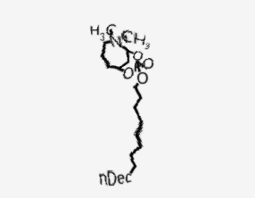 CCCCCCCCCCCCCCCCCCOP1(=O)OC2CCC[N+](C)(C)C(C2)O1